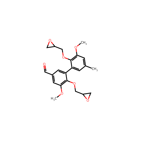 COc1cc(C)cc(-c2cc(C=O)cc(OC)c2OCC2CO2)c1OCC1CO1